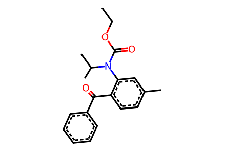 CCOC(=O)N(c1cc(C)ccc1C(=O)c1ccccc1)C(C)C